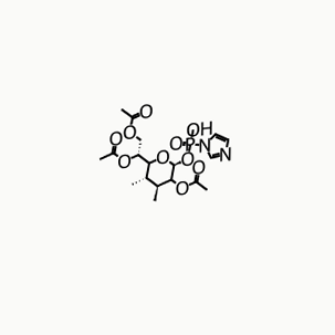 CC(=O)OC[C@@H](OC(C)=O)C1O[C@@H](OP(=O)(O)n2ccnc2)C(OC(C)=O)[C@@H](C)[C@@H]1C